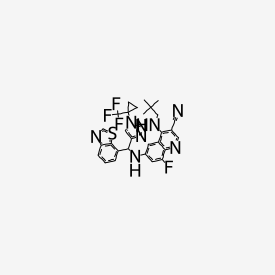 CC(C)(C)CNc1c(C#N)cnc2c(F)cc(NC(c3cn(C4(C(F)(F)F)CC4)nn3)c3cccc4ncsc34)cc12